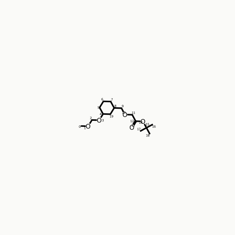 COCOC1CCCC(COCC(=O)OC(C)(C)C)C1